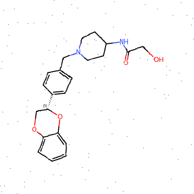 O=C(CO)NC1CCN(Cc2ccc([C@H]3COc4ccccc4O3)cc2)CC1